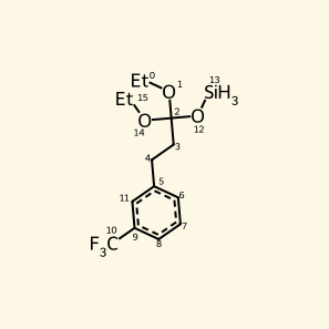 CCOC(CCc1cccc(C(F)(F)F)c1)(O[SiH3])OCC